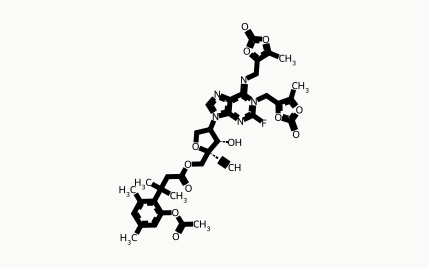 C#C[C@]1(COC(=O)CC(C)(C)c2c(C)cc(C)cc2OC(C)=O)OCC(n2cnc3/c(=N/Cc4oc(=O)oc4C)n(Cc4oc(=O)oc4C)c(F)nc32)[C@@H]1O